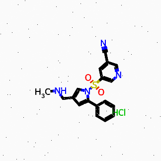 CNCc1cc(-c2ccccc2)n(S(=O)(=O)c2cncc(C#N)c2)c1.Cl